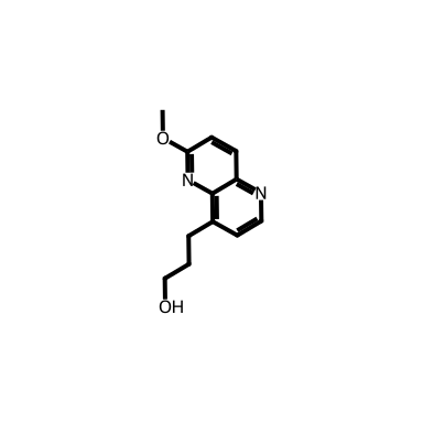 COc1ccc2nccc(CCCO)c2n1